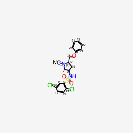 N#CN1C[C@H](NS(=O)(=O)c2cc(Cl)ccc2Cl)C[C@@H]1COc1ccccc1